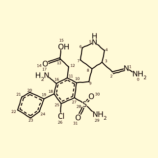 NN=CC1CNCCC1Cc1c(CC(=O)O)c(N)c(-c2ccccc2)c(Cl)c1S(N)(=O)=O